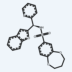 O=S(=O)(N[C@H](c1ccccn1)c1cc2ccccc2o1)c1ccc2c(c1)OCCCO2